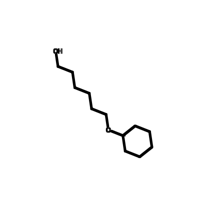 OCCCCCCO[C]1CCCCC1